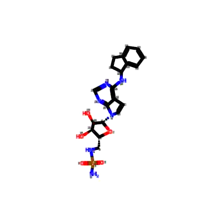 NS(=O)(=O)NC[C@H]1O[C@@H](n2ccc3c(NC4CCc5ccccc54)ncnc32)[C@H](O)[C@@H]1O